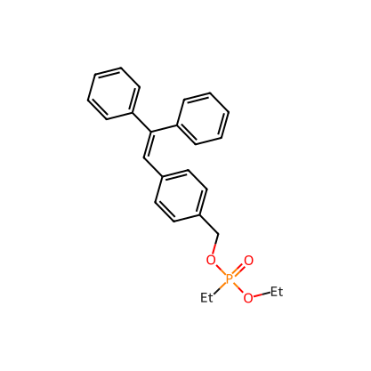 CCOP(=O)(CC)OCc1ccc(C=C(c2ccccc2)c2ccccc2)cc1